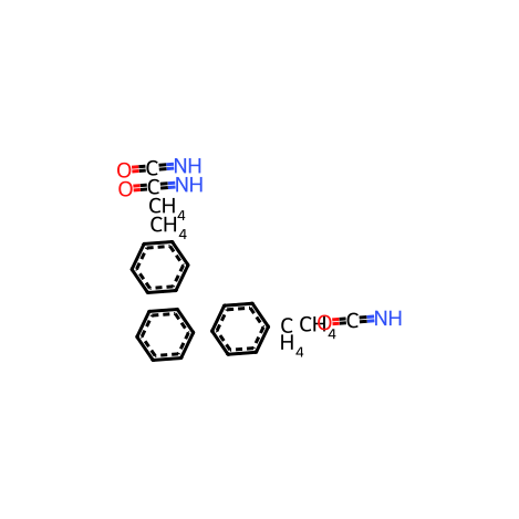 C.C.C.C.N=C=O.N=C=O.N=C=O.c1ccccc1.c1ccccc1.c1ccccc1